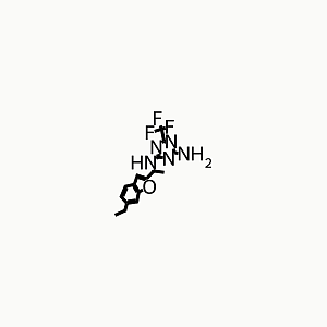 CCc1ccc2cc(C(C)Nc3nc(N)nc(C(F)(F)F)n3)oc2c1